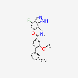 CN(Cc1ccc(F)c2cn[nH]c12)C(=O)c1ccc(-c2cccc(C#N)c2)c(OC2CC2)c1